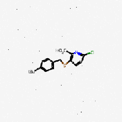 CC(C)(C)c1ccc(CSc2ccc(Cl)nc2C(=O)O)cc1